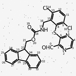 O=Cc1nccnc1Sc1c(Cl)ccc(Cl)c1CNC(=O)OCC1c2ccccc2-c2ccccc21